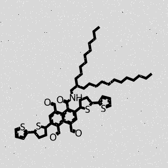 CCCCCCCCCCCCC(CCCCCCCCCC)CNC(=O)c1c(C2CCC(c3cccs3)S2)cc(C=O)c2c(C=O)c(C3CCC(c4cccs4)S3)cc(C=O)c12